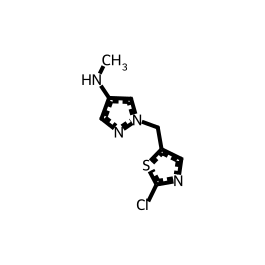 CNc1cnn(Cc2cnc(Cl)s2)c1